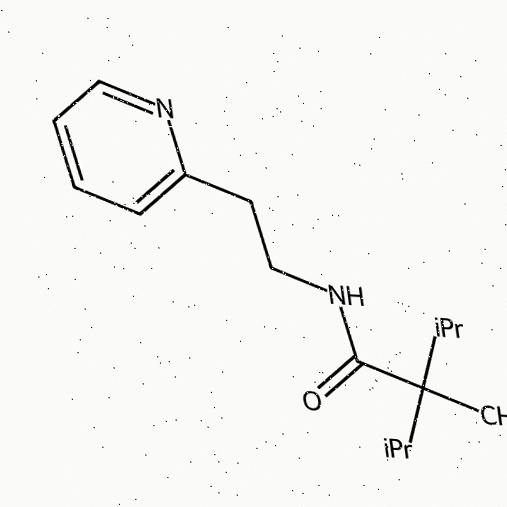 CC(C)C(C)(C(=O)NCCc1ccccn1)C(C)C